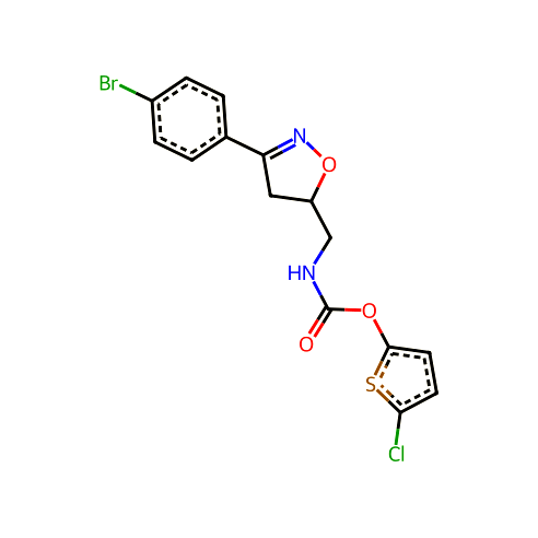 O=C(NCC1CC(c2ccc(Br)cc2)=NO1)Oc1ccc(Cl)s1